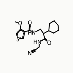 COc1cscc1C(=O)NCC(C(=O)NCC#N)C1CCCCC1